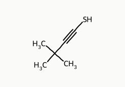 CC(C)(C)C#CS